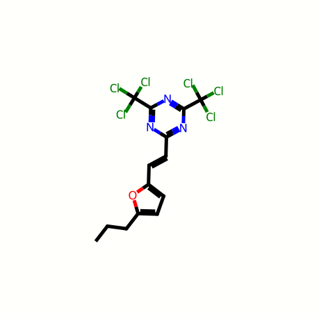 CCCc1ccc(C=Cc2nc(C(Cl)(Cl)Cl)nc(C(Cl)(Cl)Cl)n2)o1